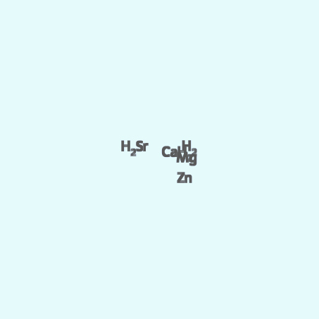 [CaH2].[MgH2].[SrH2].[Zn]